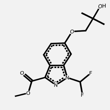 COC(=O)c1nn(C(F)F)c2cc(OCC(C)(C)O)ccc12